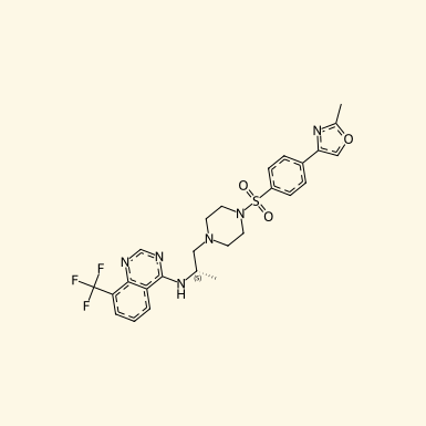 Cc1nc(-c2ccc(S(=O)(=O)N3CCN(C[C@H](C)Nc4ncnc5c(C(F)(F)F)cccc45)CC3)cc2)co1